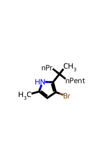 CCCCCC(C)(CCC)c1[nH]c(C)cc1Br